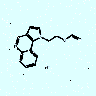 O=COCCn1ccc2cnc3ccccc3c21.[H+]